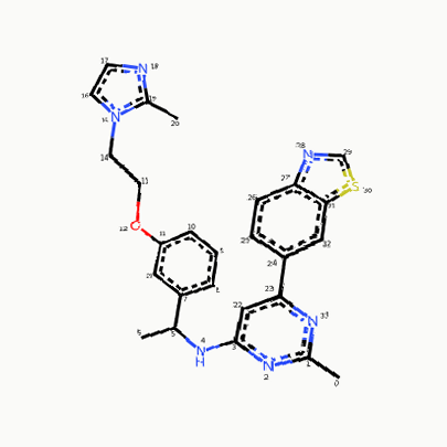 Cc1nc(NC(C)c2cccc(OCCn3ccnc3C)c2)cc(-c2ccc3ncsc3c2)n1